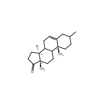 C[C@]12CCC(I)CC1=CCC1C2CC[C@]2(C)C(=O)CC[C@@H]12